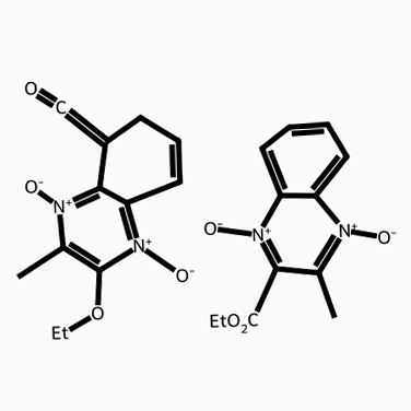 CCOC(=O)c1c(C)[n+]([O-])c2ccccc2[n+]1[O-].CCOc1c(C)[n+]([O-])c2c([n+]1[O-])C=CCC2=C=O